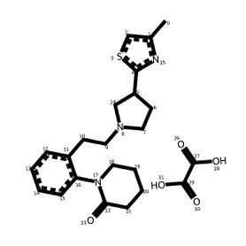 Cc1csc(C2CCN(CCc3ccccc3N3CCCCC3=O)C2)n1.O=C(O)C(=O)O